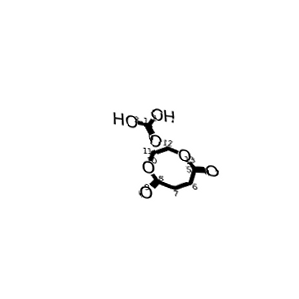 O=C(O)O.O=C1CCC(=O)OCCO1